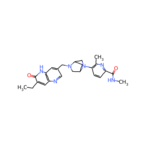 CCc1cc2ncc(CN3CC4CC3CN4c3ccc(C(=O)NC)nc3C)cc2[nH]c1=O